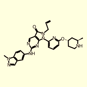 C=CCn1c(=O)c2cnc(Nc3ccc4c(cnn4C)c3)nc2n1-c1cccc(O[C@H]2CCN[C@H](C)C2)n1